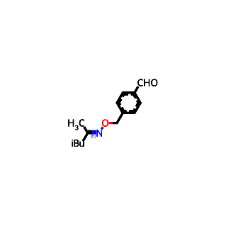 CCC(C)/C(C)=N/OCc1ccc(C=O)cc1